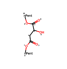 CCCCCOC(=O)CC(O)C(=O)OCCCCC